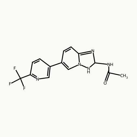 CC(=O)NC1N=C2C=CC(c3ccc(C(F)(F)F)nc3)=CN2N1